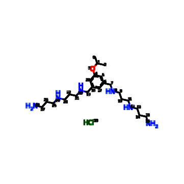 CC(C)Oc1cc(CNCCCNCCCN)cc(CNCCCNCCCN)c1.Cl